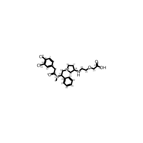 CN(C(=O)Cc1ccc(Cl)c(Cl)c1)C(CN1CCC(NCCOCC(=O)O)C1)c1ccccc1